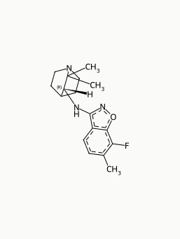 Cc1ccc2c(N[C@@H]3C4CCN(CC4)C3(C)C)noc2c1F